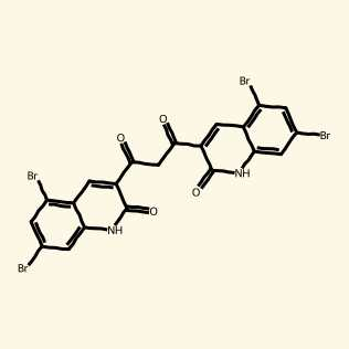 O=C(CC(=O)c1cc2c(Br)cc(Br)cc2[nH]c1=O)c1cc2c(Br)cc(Br)cc2[nH]c1=O